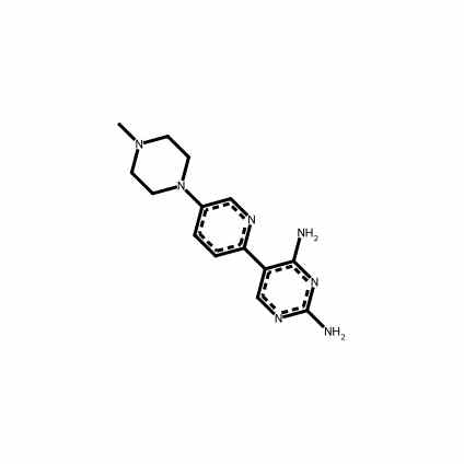 CN1CCN(c2ccc(-c3cnc(N)nc3N)nc2)CC1